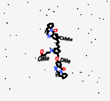 COC(=O)CCCN(C)c1cc(CCCc2cc3c(cc2OC)C(=O)N2c4ccccc4C[C@H]2C=N3)cc(COc2cc3c(cc2OC)C(=O)N2c4ccccc4C[C@H]2C=N3)c1